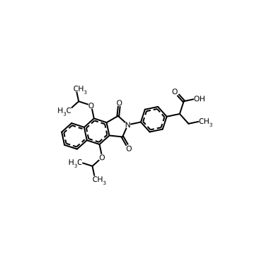 CCC(C(=O)O)c1ccc(N2C(=O)c3c(c(OC(C)C)c4ccccc4c3OC(C)C)C2=O)cc1